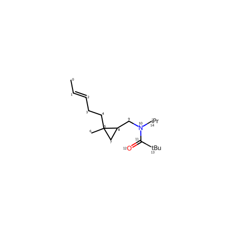 C/C=C/CCC1(C)CC1CN(C(=O)C(C)(C)C)C(C)C